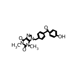 Cn1c(=O)c2ncn(Cc3ccc(C(=O)c4ccc(O)cc4)cc3)c2n(C)c1=O